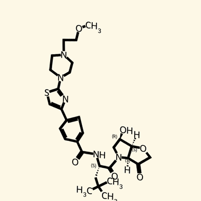 COCCN1CCN(c2nc(-c3ccc(C(=O)N[C@@H](CC(C)(C)C)C(=O)N4C[C@@H](O)[C@H]5OCC(=O)[C@H]54)cc3)cs2)CC1